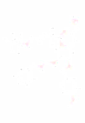 COc1ccc(COC(CC(CCCO)OC(=O)C(C)(C)C=CCO[Si](C)(C)C(C)(C)C)C(C)OCOCc2ccccc2)cc1